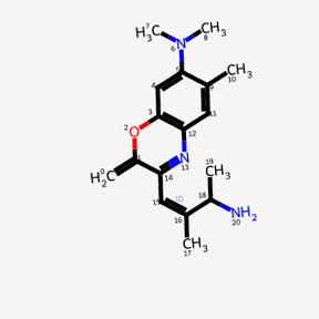 C=C1Oc2cc(N(C)C)c(C)cc2N=C1/C=C(/C)C(C)N